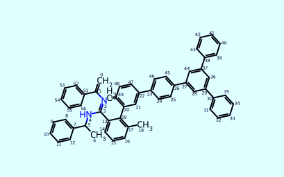 C=C(/N=C(\NC(C)c1ccccc1)c1cccc(C)c1-c1cc(-c2ccc(-c3cc(-c4ccccc4)cc(-c4ccccc4)c3)cc2)ccc1C)c1ccccc1